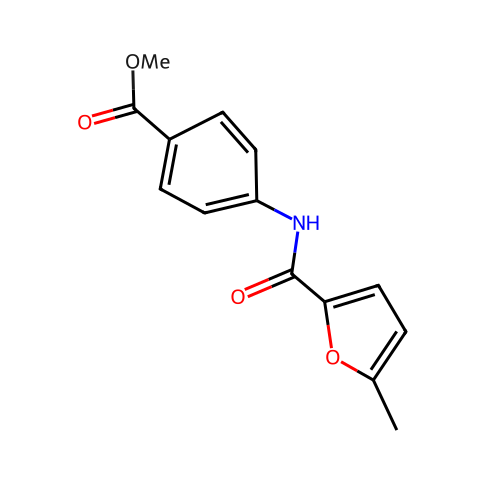 COC(=O)c1ccc(NC(=O)c2ccc(C)o2)cc1